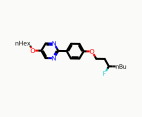 CCCCCCOc1cnc(-c2ccc(OCCC(F)CCCC)cc2)nc1